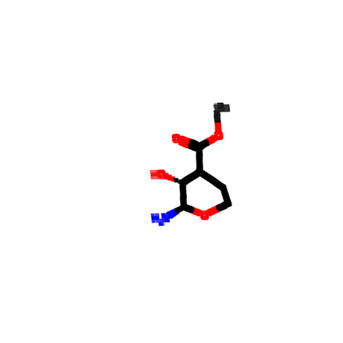 CC(C)(C)OC(=O)C1CCO[C@@H](N)[C@@H]1O